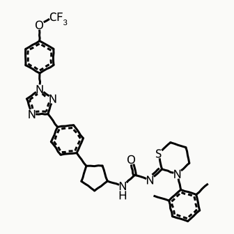 Cc1cccc(C)c1N1CCCS/C1=N\C(=O)NC1CCC(c2ccc(-c3ncn(-c4ccc(OC(F)(F)F)cc4)n3)cc2)C1